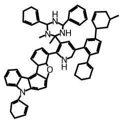 CC1CC=CC(c2ccc(C3=CCCCC3)c(C3=CC(C4(C)NC(c5ccccc5)NC(C5=CCCC=C5)N4C)=C(C4=CC=CC5c6c(ccc7c6c6ccccc6n7C6=CCCC=C6)OC45)NC3)c2)C1